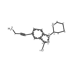 CCC#Cc1ccc2c(c1)c(Cl)nn2C1CCCCO1